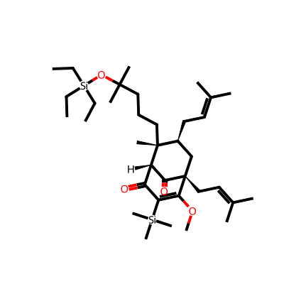 CC[Si](CC)(CC)OC(C)(C)CCC[C@]1(C)[C@@H](CC=C(C)C)C[C@@]2(CC=C(C)C)C(=O)[C@@H]1C(=O)C([Si](C)(C)C)=C2OC